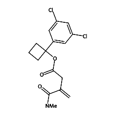 C=C(CC(=O)OC1(c2cc(Cl)cc(Cl)c2)CCC1)C(=O)NC